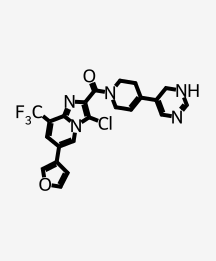 O=C(c1nc2c(C(F)(F)F)cc(-c3ccoc3)cn2c1Cl)N1CC=C(C2=CN=CNC2)CC1